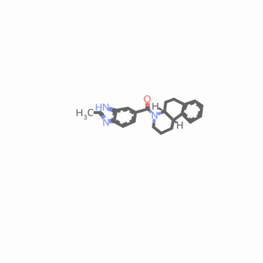 Cc1nc2ccc(C(=O)N3CCC[C@H]4c5ccccc5CC[C@H]43)cc2[nH]1